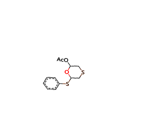 CC(=O)OC1CSCC(Sc2ccccc2)O1